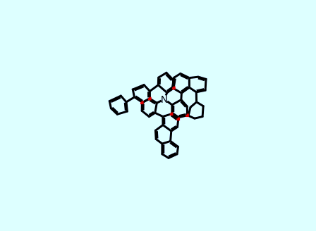 c1ccc(-c2ccc(-c3ccccc3N(c3ccccc3-c3cccc4c3ccc3ccccc34)c3ccccc3-c3cccc4cccc(C5CCCCC5)c34)cc2)cc1